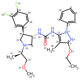 CCOc1nn(-c2ccccc2)c(NC(=O)N[C@@H]2CN([C@H](C)COC)C[C@H]2c2ccc(F)c(F)c2)c1C